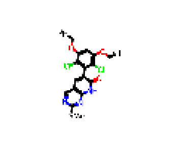 [2H]COc1cc(OC[2H])c(Cl)c(-c2cc3cnc(SC)nc3[nH]c2=O)c1Cl